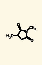 [CH2]C1CC(=O)N(C)C1=O